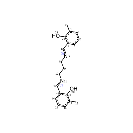 Cc1cccc(/C=N/CCC/N=C/c2cccc(C)c2O)c1O